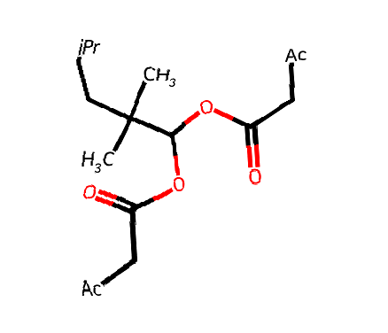 CC(=O)CC(=O)OC(OC(=O)CC(C)=O)C(C)(C)CC(C)C